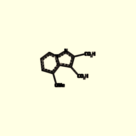 COc1cccn2nc(C(=O)O)c(C(=O)O)c12